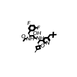 CC(=O)N[C@@H](Cc1cc(F)cc(F)c1)[C@H](O)CN[C@H]1C[C@]2(C[C@H](C)C2)Oc2ncc(CC(C)(C)C)cc21